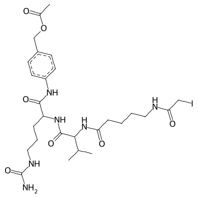 CC(=O)OCc1ccc(NC(=O)C(CCCNC(N)=O)NC(=O)C(NC(=O)CCCCNC(=O)CI)C(C)C)cc1